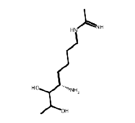 CC(=N)NCCCC[C@H](N)C(O)C(C)O